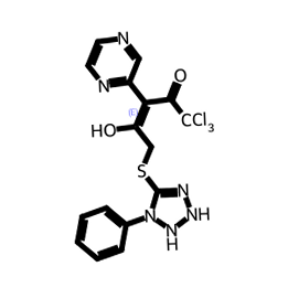 O=C(/C(=C(/O)CSC1=NNNN1c1ccccc1)c1cnccn1)C(Cl)(Cl)Cl